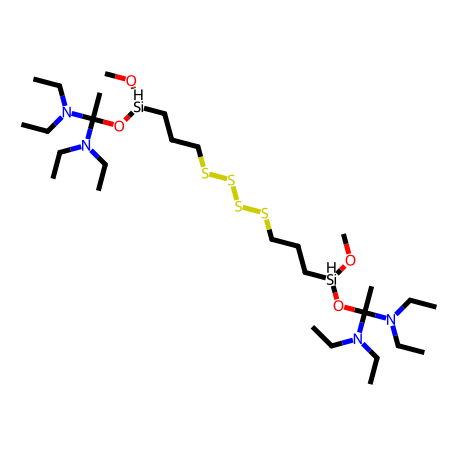 CCN(CC)C(C)(O[SiH](CCCSSSSCCC[SiH](OC)OC(C)(N(CC)CC)N(CC)CC)OC)N(CC)CC